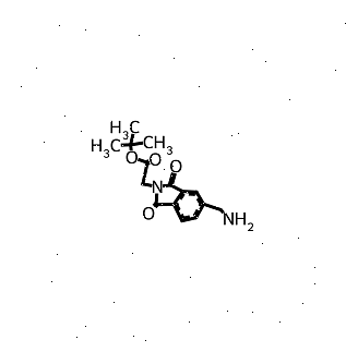 CC(C)(C)OC(=O)CN1C(=O)c2ccc(CN)cc2C1=O